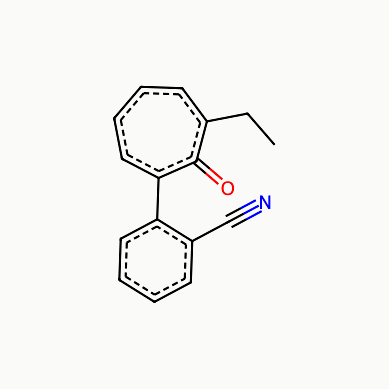 CCc1ccccc(-c2ccccc2C#N)c1=O